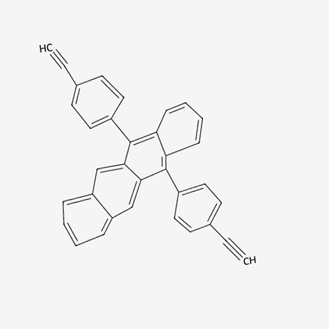 C#Cc1ccc(-c2c3ccccc3c(-c3ccc(C#C)cc3)c3cc4ccccc4cc23)cc1